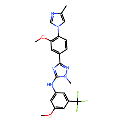 COc1cc(Nc2nc(-c3ccc(-n4cnc(C)c4)c(OC)c3)nn2C)cc(C(F)(F)F)c1